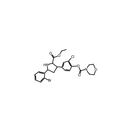 CCOC(=O)C1NC(c2ccccc2Br)CC1c1ccc(OC(=O)N2CCOCC2)c(Cl)c1